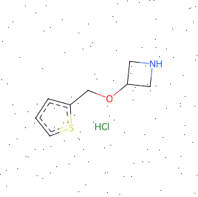 Cl.c1csc(COC2CNC2)c1